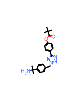 CC(C)(C)C(=O)Oc1ccc(-c2nnn(Cc3ccc(C(C)(C)N)cc3)n2)cc1